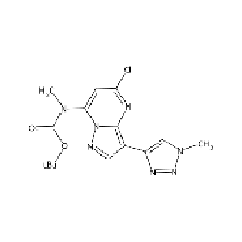 CN(C(=O)OC(C)(C)C)c1cc(Cl)nc2c(-c3cn(C)nn3)cnn12